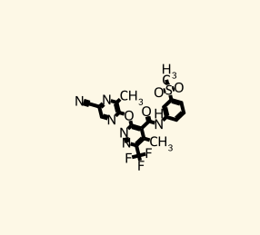 Cc1nc(C#N)cnc1Oc1nnc(C(F)(F)F)c(C)c1C(=O)Nc1cccc(S(C)(=O)=O)c1